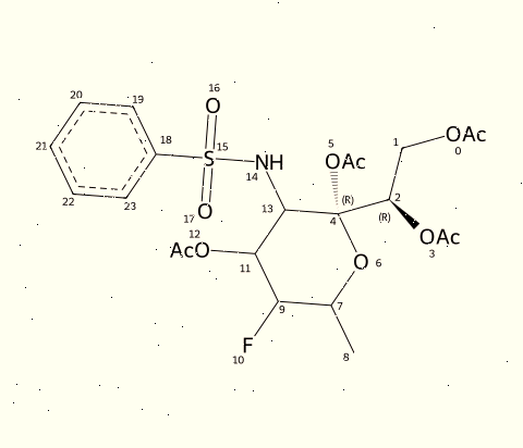 CC(=O)OC[C@@H](OC(C)=O)[C@@]1(OC(C)=O)OC(C)C(F)C(OC(C)=O)C1NS(=O)(=O)c1ccccc1